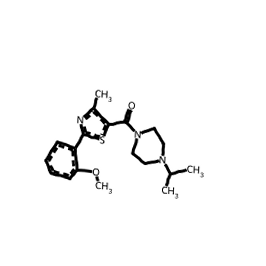 COc1ccccc1-c1nc(C)c(C(=O)N2CCN(C(C)C)CC2)s1